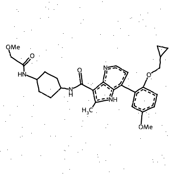 COCC(=O)NC1CCC(NC(=O)c2c(C)[nH]c3c(-c4cc(OC)ccc4OCC4CC4)ccnc23)CC1